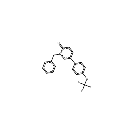 O=c1ccc(-c2ccc(OC(F)(F)F)cc2)cn1Cc1ccccc1